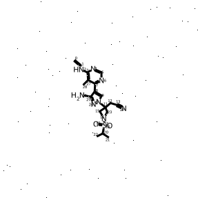 C=CNc1ncnc(-c2cn(C3(CC#N)CN(S(=O)(=O)C(C)C)C3)nc2N)c1C